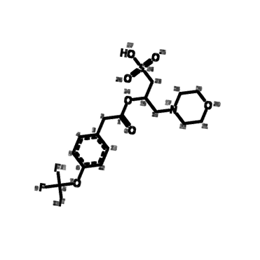 O=C(Cc1ccc(OC(F)(F)F)cc1)OC(CN1CCOCC1)CS(=O)(=O)O